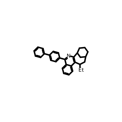 CCC1CC2CCCC(C2)c2nc(-c3ccc(-c4ccccc4)cc3)c3ccccc3c21